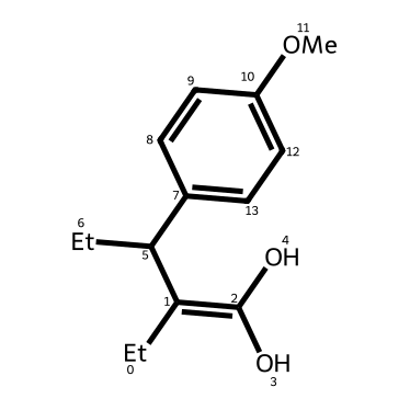 CCC(=C(O)O)C(CC)c1ccc(OC)cc1